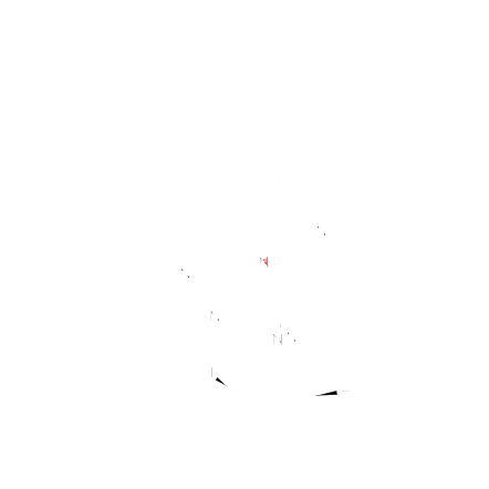 Cc1cc(N2C[C@H]3CC[C@@H](C2)C3Nc2nc3c(-c4cccc(C(F)(F)F)c4)cccn3n2)sn1